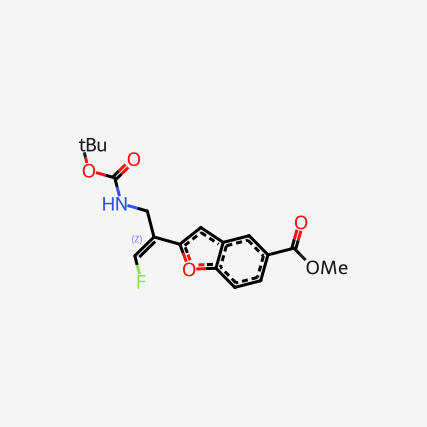 COC(=O)c1ccc2oc(/C(=C\F)CNC(=O)OC(C)(C)C)cc2c1